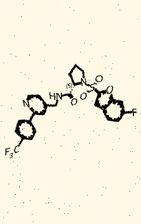 O=C(NCc1ccnc(-c2ccc(C(F)(F)F)cc2)c1)[C@@H]1CCCN1S(=O)(=O)c1cc2ccc(F)cc2o1